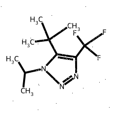 CC(C)n1nnc(C(F)(F)F)c1C(C)(C)C